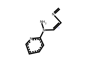 C=N/C=C\N(N)c1ccccn1